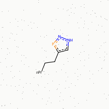 CCCCCc1c[nH]np1